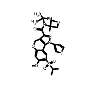 BC(B)(B)N(C(=O)c1nn(-c2ccsc2)c2c1COc1cc(OC)c(S(=O)(=O)C(C)C)cc1-2)C1(C)COC1